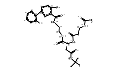 CC(C)(C)NC(=O)C[C@H](NC(=O)CCNC(=O)O)C(=O)NCCNC(=O)c1cc(-c2ccccc2F)ccc1F